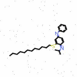 CCCCCCCCCCCCSC1=CC(=N/c2ccccc2)/C=CC/1=N/C(C)C